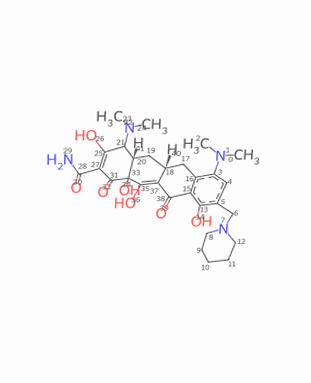 CN(C)c1cc(CN2CCCCC2)c(O)c2c1C[C@H]1C[C@H]3C(N(C)C)C(O)=C(C(N)=O)C(=O)[C@@]3(O)C(O)=C1C2=O